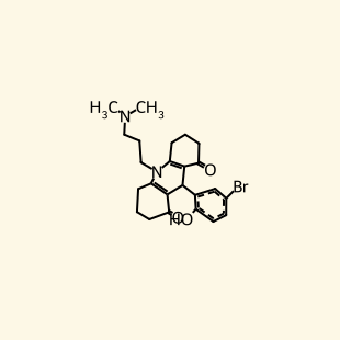 CN(C)CCCN1C2=C(C(=O)CCC2)C(c2cc(Br)ccc2O)C2=C1CCCC2=O